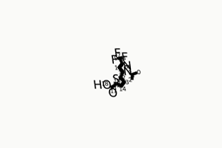 CC(C)n1nc(C(F)(F)F)cc1-c1ccc(C(=O)O)s1